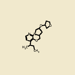 CCC(C)c1ccnc2c1OCC1CC(OC3CCOC3)CN21